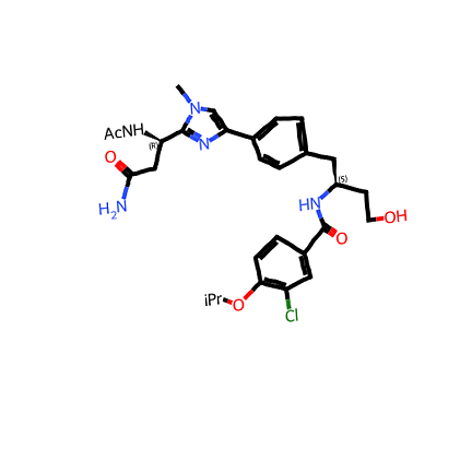 CC(=O)N[C@H](CC(N)=O)c1nc(-c2ccc(C[C@@H](CCO)NC(=O)c3ccc(OC(C)C)c(Cl)c3)cc2)cn1C